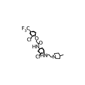 CC1CCN(CCNc2ccc(NC(=O)COc3ccc(C(F)(F)F)cc3Cl)cc2Cl)CC1